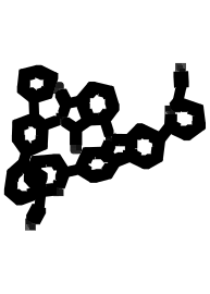 N#Cc1cccc(-c2ccc3c4ccc(-c5cccc(C#N)n5)cc4n(-c4cccc5c4C(=O)N(c4cc(-c6ccccc6)ccc4-c4ccccc4)C5=O)c3c2)n1